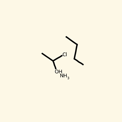 CC(O)Cl.CCCC.N